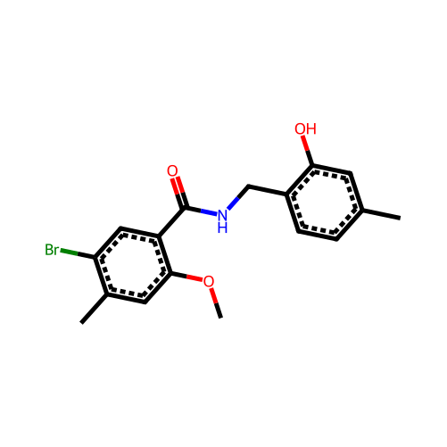 COc1cc(C)c(Br)cc1C(=O)NCc1ccc(C)cc1O